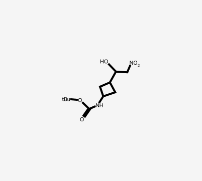 CC(C)(C)OC(=O)NC1CC(C(O)C[N+](=O)[O-])C1